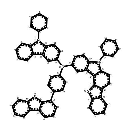 c1ccc(-n2c3ccccc3c3cc(N(c4ccc(-c5cccc6c5sc5ccccc56)cc4)c4ccc5c(c4)c4c6sc7ccccc7c6ccc4n5-c4ccccc4)ccc32)cc1